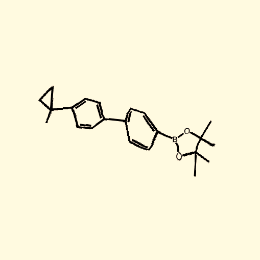 CC1(c2ccc(-c3ccc(B4OC(C)(C)C(C)(C)O4)cc3)cc2)CC1